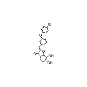 O=C1C(=Cc2cccc(Oc3ccc(Cl)cc3)c2)Oc2c1ccc(O)c2O